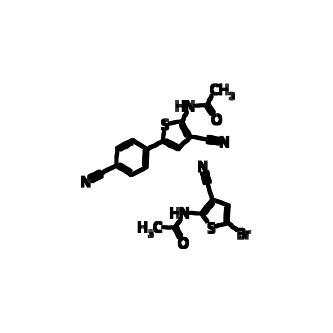 CC(=O)Nc1sc(-c2ccc(C#N)cc2)cc1C#N.CC(=O)Nc1sc(Br)cc1C#N